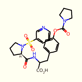 O=C(O)C(Cc1ccc(OC(=O)N2CCCC2)cc1)NC(=O)[C@H]1CCCN1S(=O)(=O)c1cccnc1